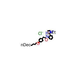 CCCCCCCCCCCCCCOc1ccc(CC(=O)Nc2ccccc2-c2scc[n+]2CC)cc1.[Cl-]